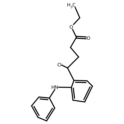 CCOC(=O)CCC(Cl)c1ccccc1Nc1ccccc1